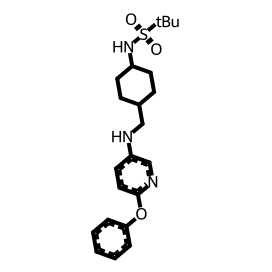 CC(C)(C)S(=O)(=O)NC1CCC(CNc2ccc(Oc3ccccc3)nc2)CC1